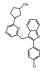 OC1CCN(c2cncc(Cc3c(-c4ccc(Cl)cc4)nc4ccccn34)n2)C1